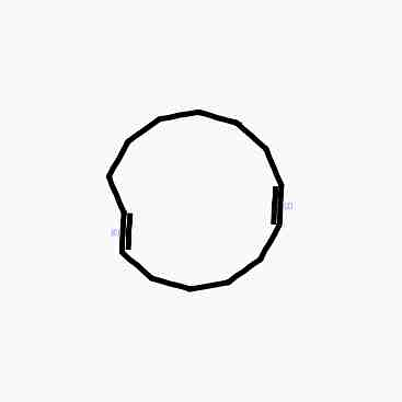 [CH]1C/C=C\CCCC/C=C/CCCC1